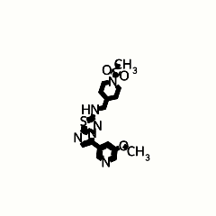 COc1cncc(-c2cnc3sc(NCC4CCN(S(C)(=O)=O)CC4)nn23)c1